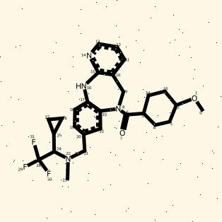 COC1CCC(C(=O)N2Cc3cccnc3Nc3ccc(CN(C)C(C4CC4)C(F)(F)F)cc32)CC1